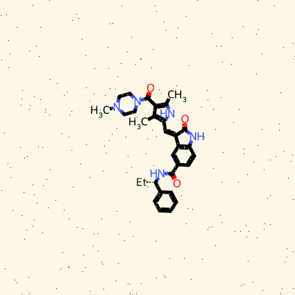 CC[C@H](NC(=O)c1ccc2c(c1)/C(=C/c1[nH]c(C)c(C(=O)N3CCN(C)CC3)c1C)C(=O)N2)c1ccccc1